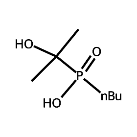 CCCCP(=O)(O)C(C)(C)O